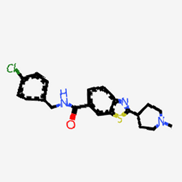 CN1CCC(c2nc3ccc(C(=O)NCc4ccc(Cl)cc4)cc3s2)CC1